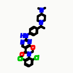 CC(c1ccc(Nc2ncc3c(n2)OCN(c2c(Cl)cccc2Cl)C3=O)cc1)N1CCC(N(C)C)CC1